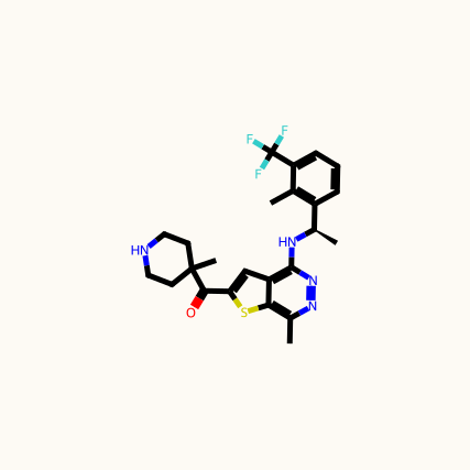 Cc1c([C@@H](C)Nc2nnc(C)c3sc(C(=O)C4(C)CCNCC4)cc23)cccc1C(F)(F)F